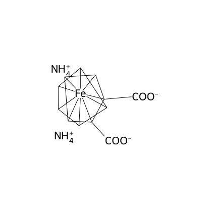 O=C([O-])[C]12[CH]3[CH]4[CH]5[C]1(C(=O)[O-])[Fe]43521678[CH]2[CH]1[CH]6[CH]7[CH]28.[NH4+].[NH4+]